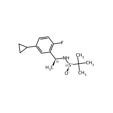 C[C@H](N[S@+]([O-])C(C)(C)C)c1cc(C2CC2)ccc1F